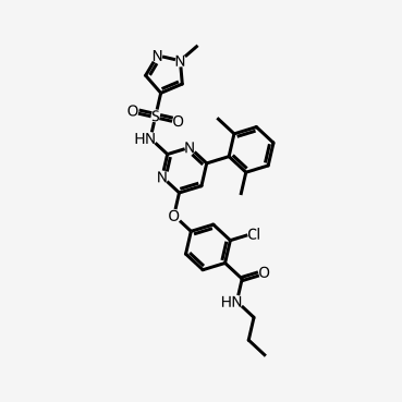 CCCNC(=O)c1ccc(Oc2cc(-c3c(C)cccc3C)nc(NS(=O)(=O)c3cnn(C)c3)n2)cc1Cl